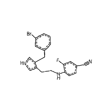 N#Cc1ccc(NCCc2c[nH]cc2Cc2cccc(Br)c2)c(F)c1